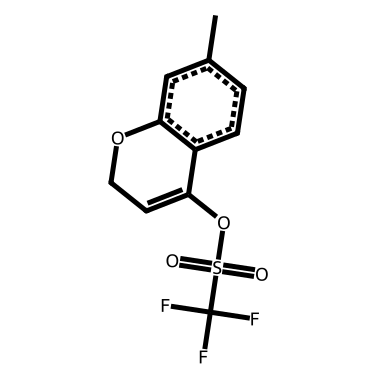 Cc1ccc2c(c1)OCC=C2OS(=O)(=O)C(F)(F)F